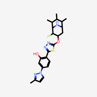 Cc1ccn(-c2ccc(-c3nnc(OC4CC5NC(C(C)C(C)C5C)C4F)s3)c(O)c2)n1